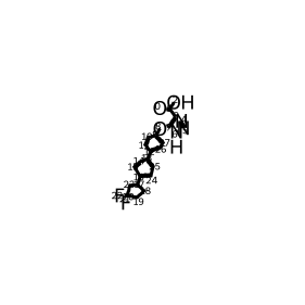 O=C(O)c1nn[nH]c1Oc1ccc(-c2ccc(C3CCC(F)(F)C3)cc2)cc1